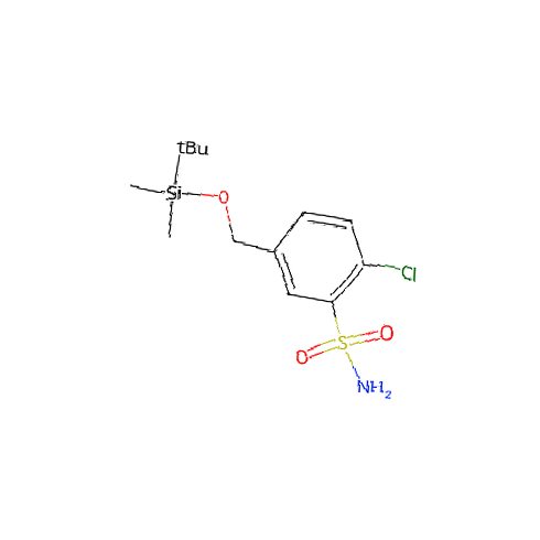 CC(C)(C)[Si](C)(C)OCc1ccc(Cl)c(S(N)(=O)=O)c1